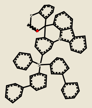 c1ccc(-c2cccc([Si](c3ccccc3)(c3cccc(-c4ccccc4)c3)c3ccc4c(c3)-n3c5ccccc5c5cccc(c53)C43c4ccccc4Sc4ccccc43)c2)cc1